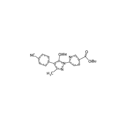 COc1c(-c2ccc(C#N)cc2)c(C)nn1-c1ccc(C(=O)OCC(C)C)cn1